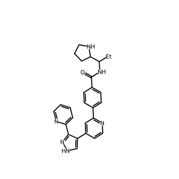 CCC(NC(=O)c1ccc(-c2cc(-c3c[nH]nc3-c3ccccn3)ccn2)cc1)C1CCCN1